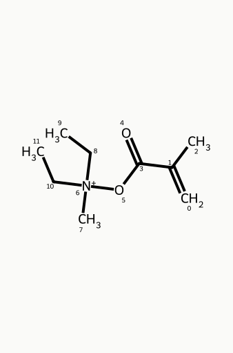 C=C(C)C(=O)O[N+](C)(CC)CC